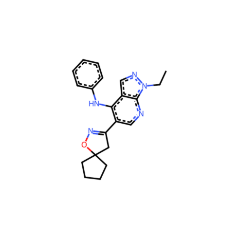 CCn1ncc2c(Nc3ccccc3)c(C3=NOC4(CCCC4)C3)cnc21